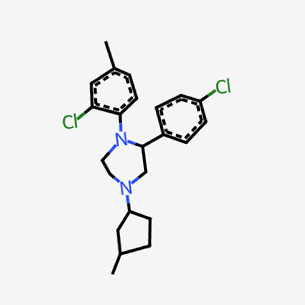 Cc1ccc(N2CCN(C3CCC(C)C3)CC2c2ccc(Cl)cc2)c(Cl)c1